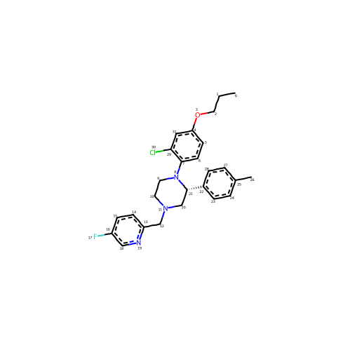 CCCOc1ccc(N2CCN(Cc3ccc(F)cn3)C[C@H]2c2ccc(C)cc2)c(Cl)c1